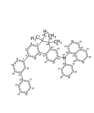 CC1(C)c2ccc(-c3cccc(-c4ccccc4)c3)cc2-c2ccc(N(c3ccccc3)c3cccc4ccccc34)cc2C1(C)C